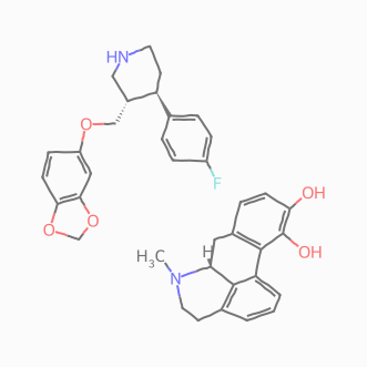 CN1CCc2cccc3c2[C@H]1Cc1ccc(O)c(O)c1-3.Fc1ccc([C@@H]2CCNC[C@H]2COc2ccc3c(c2)OCO3)cc1